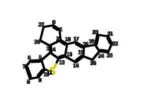 C1=Cc2c(c3c4ccccc4sc3c3cc4c(cc23)-c2ccccc2C4)CC1